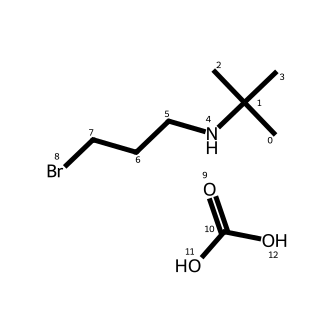 CC(C)(C)NCCCBr.O=C(O)O